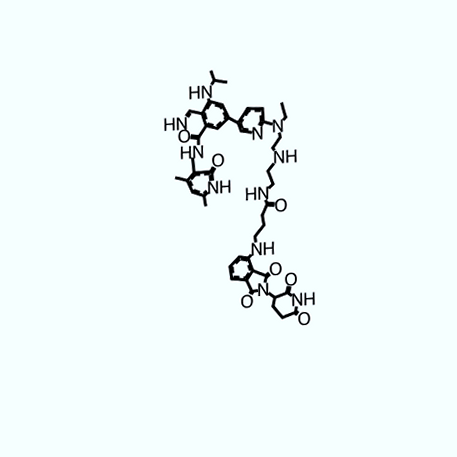 CCN(CCNCCNC(=O)CCCNc1cccc2c1C(=O)N(C1CCC(=O)NC1=O)C2=O)c1ccc(-c2cc(NC(C)C)c(C=N)c(C(=O)NCc3c(C)cc(C)[nH]c3=O)c2)cn1